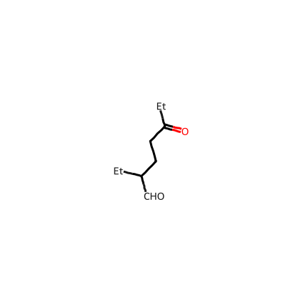 CCC(=O)CCC(C=O)CC